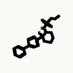 CCCS(=O)(=O)NC1CCCCC1(F)c1ccc(-c2ccccc2)cc1